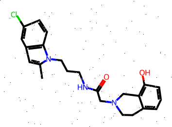 Cc1cc2cc(Cl)ccc2n1CCCNC(=O)CN1CCc2cccc(O)c2C1